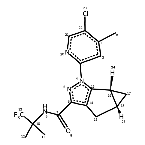 Cc1cc(-n2nc(C(=O)NC(C)(C)C(F)(F)F)c3c2[C@@H]2C[C@@H]2C3)ncc1Cl